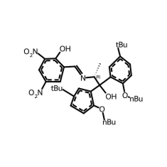 CCCCOc1ccc(C(C)(C)C)cc1C(O)(c1cc(C(C)(C)C)ccc1OCCCC)[C@@H](C)N=Cc1cc([N+](=O)[O-])cc([N+](=O)[O-])c1O